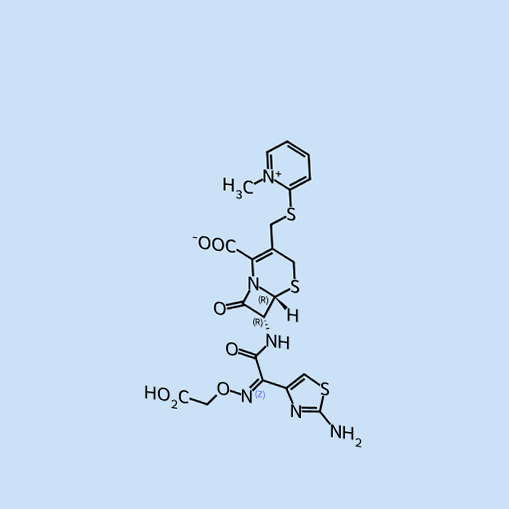 C[n+]1ccccc1SCC1=C(C(=O)[O-])N2C(=O)[C@@H](NC(=O)/C(=N\OCC(=O)O)c3csc(N)n3)[C@H]2SC1